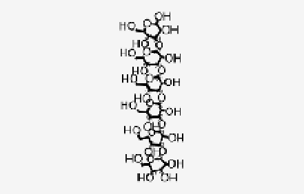 OCC1O[C@H](O[C@@H]2C(O)[C@@H](O[C@@H]3C(O)[C@@H](O[C@@H]4C(O)[C@@H](O[C@@H]5C(O)[C@H](O[C@@H]6C(O)C(O)OC(CO)[C@H]6O)OC(CO)[C@H]5O)OC(CO)[C@H]4O)OC(CO)[C@H]3O)OC(CO)[C@H]2O)C(O)[C@@H](O)[C@@H]1O